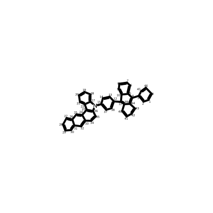 c1ccc(-c2c3ccccc3c(-c3ccc(-n4c5ccccc5c5c6cc7ccccc7cc6ccc54)cc3)c3ccccc23)cc1